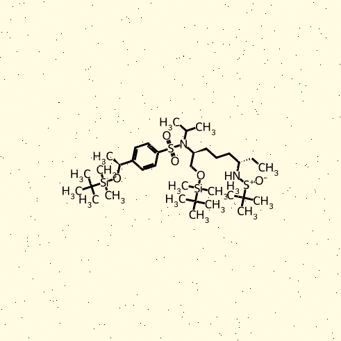 CC[C@@H](CCC[C@@H](CO[Si](C)(C)C(C)(C)C)N(C(C)C)S(=O)(=O)c1ccc([C@H](C)O[Si](C)(C)C(C)(C)C)cc1)N[S+]([O-])C(C)(C)C